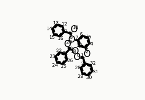 O=C(Oc1c[c]cc(OC(=O)c2ccccc2)c1OC(=O)c1ccccc1)c1ccccc1